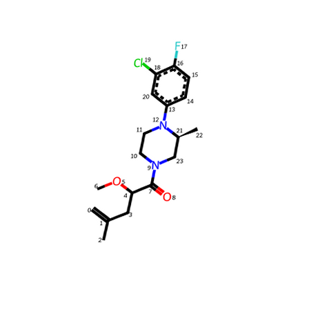 C=C(C)CC(OC)C(=O)N1CCN(c2ccc(F)c(Cl)c2)[C@@H](C)C1